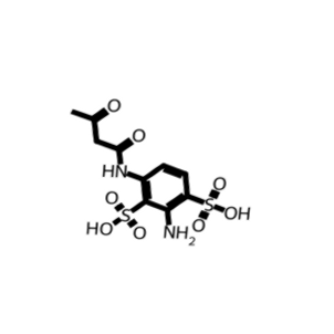 CC(=O)CC(=O)Nc1ccc(S(=O)(=O)O)c(N)c1S(=O)(=O)O